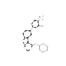 Cc1cc(-c2ccc3[nH]c4ncnc(NC5CCCCC5)c4c3c2)ccc1S(C)(=O)=O